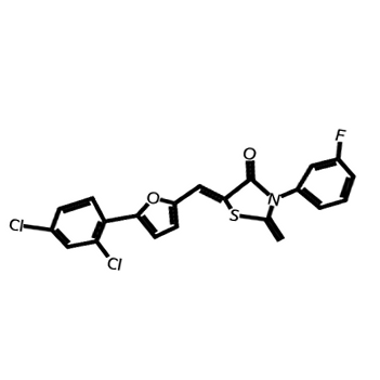 C=c1s/c(=C\c2ccc(-c3ccc(Cl)cc3Cl)o2)c(=O)n1-c1cccc(F)c1